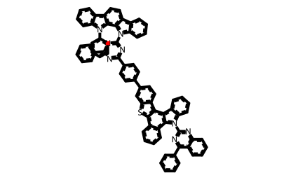 c1ccc(-c2nc(-c3ccc(-c4ccc5c(c4)sc4c6ccccc6c6c(c7ccccc7n6-c6nc(-c7ccccc7)c7ccccc7n6)c54)cc3)nc(-n3c4ccccc4c4ccc5c6ccccc6n(-c6ccccc6)c5c43)n2)cc1